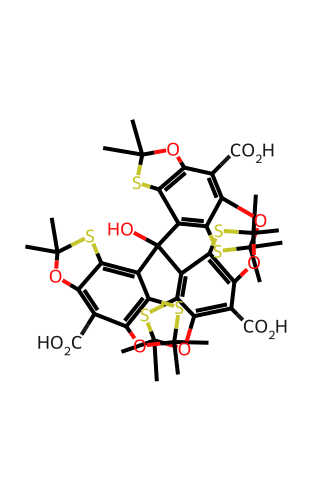 CC1(C)Oc2c(c(C(O)(c3c4c(c(C(=O)O)c5c3SC(C)(C)O5)OC(C)(C)S4)c3c4c(c(C(=O)O)c5c3SC(C)(C)O5)OC(C)(C)S4)c3c(c2C(=O)O)OC(C)(C)S3)S1